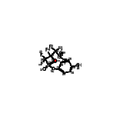 O=S(=O)(O)C(F)(F)C(F)(F)C(F)(F)S(=O)(=O)Oc1ccc(S)cc1